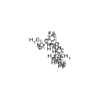 CCc1nocc1C(=O)N[C@H](C(=O)Nc1cc(C(C)(C)N2C[C@@H](C(F)(F)F)NC2=O)ccn1)C1CCC(F)(F)CC1